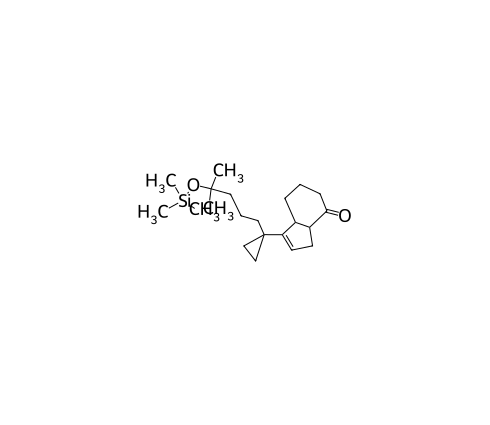 CC(C)(CCCC1(C2=CCC3C(=O)CCCC23)CC1)O[Si](C)(C)C